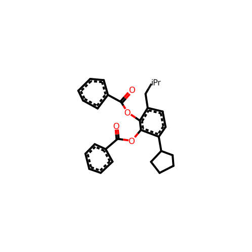 CC(C)Cc1ccc(C2CCCC2)c(OC(=O)c2ccccc2)c1OC(=O)c1ccccc1